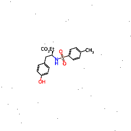 CCOC(=O)[C@H](Cc1ccc(O)cc1)NS(=O)(=O)c1ccc(C)cc1